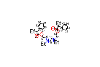 CCC(C(=O)OCCN(CC)CCN(CC)CCOC(=O)C(CC)c1ccccc1)c1ccccc1